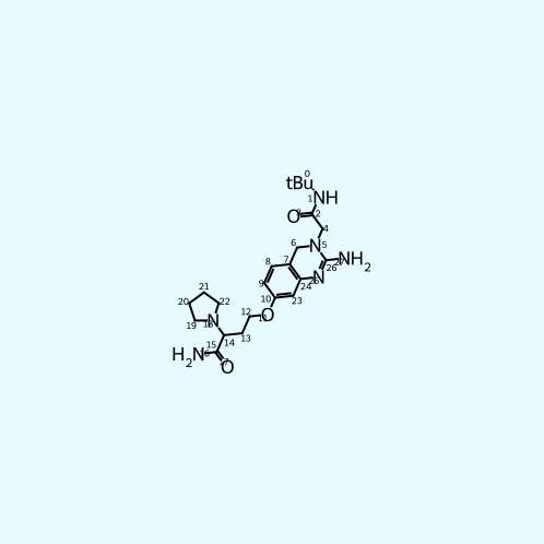 CC(C)(C)NC(=O)CN1Cc2ccc(OCCC(C(N)=O)N3CCCC3)cc2N=C1N